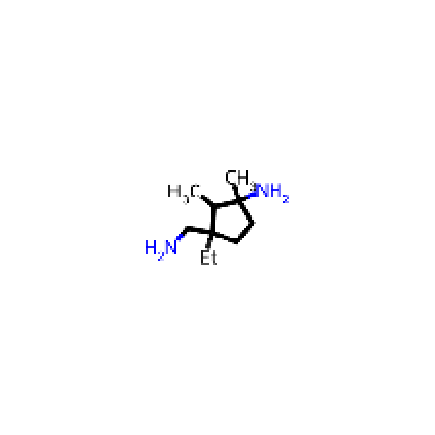 CCC1(CN)CCC(C)(N)C1C